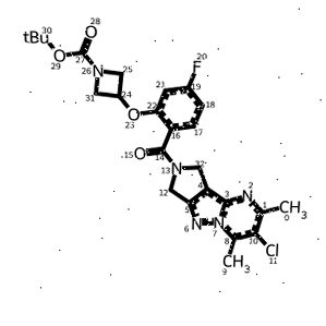 Cc1nc2c3c(nn2c(C)c1Cl)CN(C(=O)c1ccc(F)cc1OC1CN(C(=O)OC(C)(C)C)C1)C3